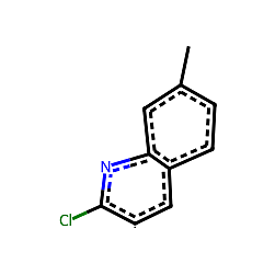 Cc1ccc2c[c]c(Cl)nc2c1